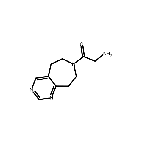 NCC(=O)N1CCc2cncnc2CC1